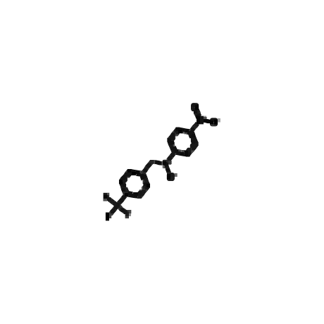 O=[N+]([O-])c1ccc([S+]([O-])Cc2ccc(C(F)(F)F)cc2)cc1